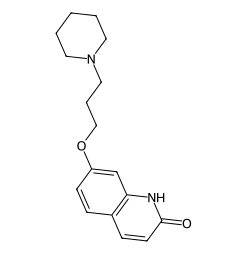 O=c1ccc2ccc(OCCCN3CCCCC3)cc2[nH]1